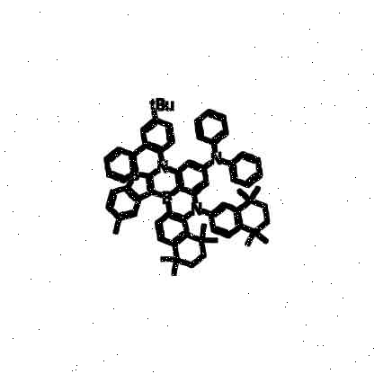 Cc1ccc2sc3c(c2c1)B1c2ccc4c(c2N(c2ccc5c(c2)C(C)(C)CCC5(C)C)c2cc(N(c5ccccc5)c5ccccc5)cc(c21)N3c1ccc(C(C)(C)C)cc1-c1ccccc1)C(C)(C)CCC4(C)C